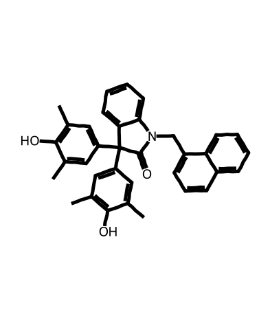 Cc1cc(C2(c3cc(C)c(O)c(C)c3)C(=O)N(Cc3cccc4ccccc34)c3ccccc32)cc(C)c1O